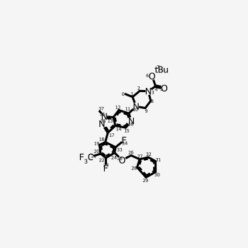 CC1CN(C(=O)OC(C)(C)C)CCN1c1cc2c(cn1)c(-c1cc(C(F)(F)F)c(F)c(OCc3ccccc3)c1F)nn2C